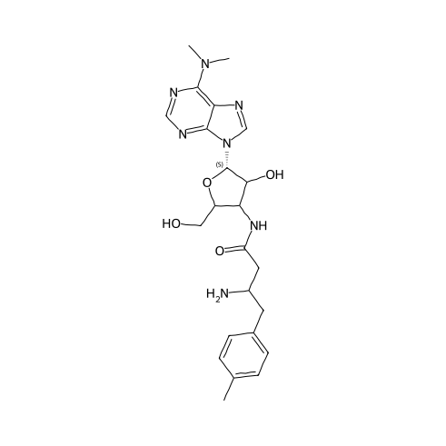 Cc1ccc(CC(N)CC(=O)NC2C(CO)O[C@H](n3cnc4c(N(C)C)ncnc43)C2O)cc1